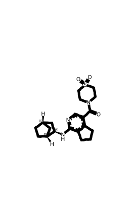 O=C(c1cnc(N[C@@H]2C[C@H]3CC[C@@H]2C3)c2c1CCC2)N1CCS(=O)(=O)CC1